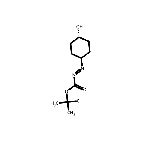 CC(C)(C)OC(=O)N=N[C@H]1CC[C@H](O)CC1